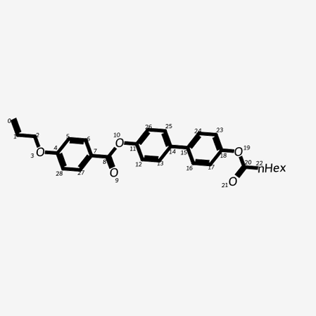 C=CCOc1ccc(C(=O)Oc2ccc(-c3ccc(OC(=O)CCCCCC)cc3)cc2)cc1